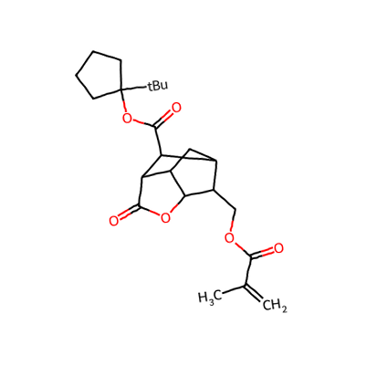 C=C(C)C(=O)OCC1C2CC3C1OC(=O)C3C2C(=O)OC1(C(C)(C)C)CCCC1